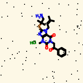 CC(C)=CCn1c(SC(C)(C)CN)nc2c1c(=O)n(CC(=O)c1ccccc1)c(=O)n2C.Cl